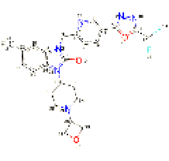 O=c1n(Cc2ccc(-c3nnc(C(F)F)o3)cn2)c2cc(C(F)(F)F)ccc2n1C1CCN(C2COC2)CC1